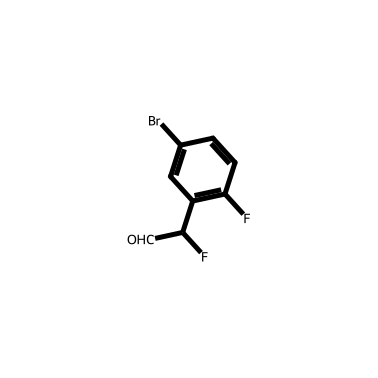 O=CC(F)c1cc(Br)ccc1F